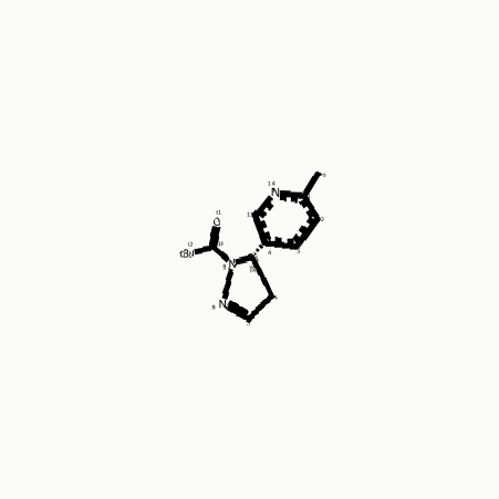 Cc1ccc([C@@H]2CC=NN2C(=O)C(C)(C)C)cn1